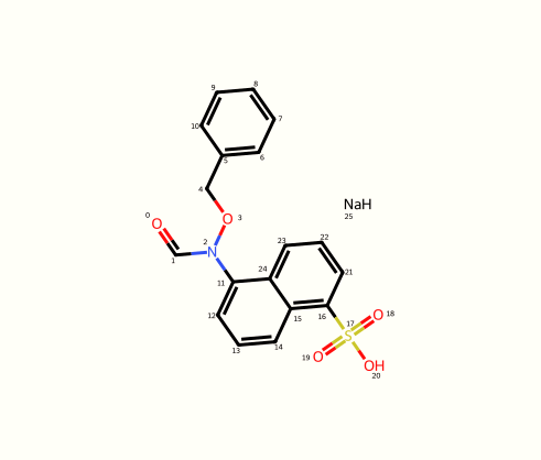 O=CN(OCc1ccccc1)c1cccc2c(S(=O)(=O)O)cccc12.[NaH]